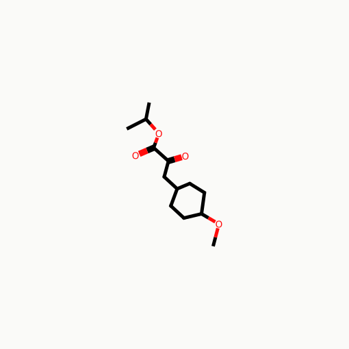 COC1CCC(CC(=O)C(=O)OC(C)C)CC1